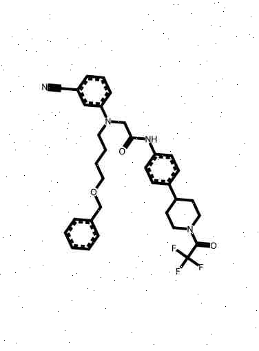 N#Cc1cccc(N(CCCCOCc2ccccc2)CC(=O)Nc2ccc(C3CCN(C(=O)C(F)(F)F)CC3)cc2)c1